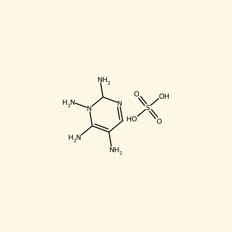 NC1=C(N)N(N)C(N)N=C1.O=S(=O)(O)O